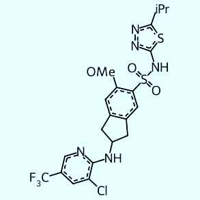 COc1cc2c(cc1S(=O)(=O)Nc1nnc(C(C)C)s1)CC(Nc1ncc(C(F)(F)F)cc1Cl)C2